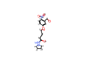 O=Cc1cc(OCCCC(=O)NN2CCCC2)ccc1[N+](=O)[O-]